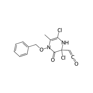 CC1=C(Cl)NC(Cl)(C=C=O)C(=O)N1OCc1ccccc1